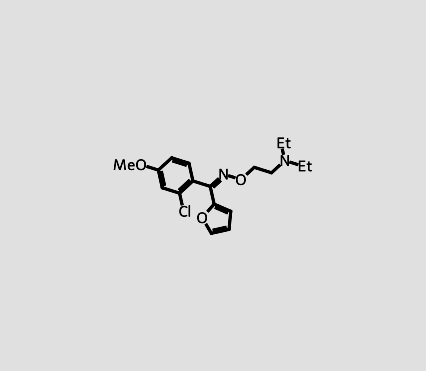 CCN(CC)CCON=C(c1ccco1)c1ccc(OC)cc1Cl